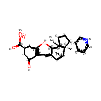 C[C@]12C=CC3=CC4=C(CC(C(=O)O)CC4=O)O[C@H]3[C@@H]1CC[C@@H]2c1cccnc1